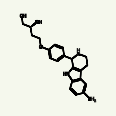 Bc1ccc2[nH]c3c(c2c1)CCNC3c1ccc(OCC[C@H](O)CO)cc1